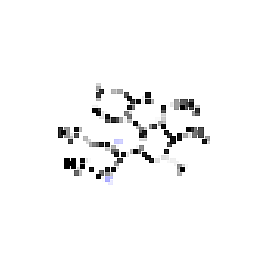 C=C1C(F)CC(C(/C=C\C)=C/CC)=C(c2ccncc2Cl)N1CN